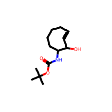 CC(C)(C)OC(=O)NC1CCCC/C=C/C1O